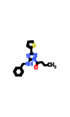 CCCC(=O)n1nc(-c2cccs2)nc1NCc1ccccc1